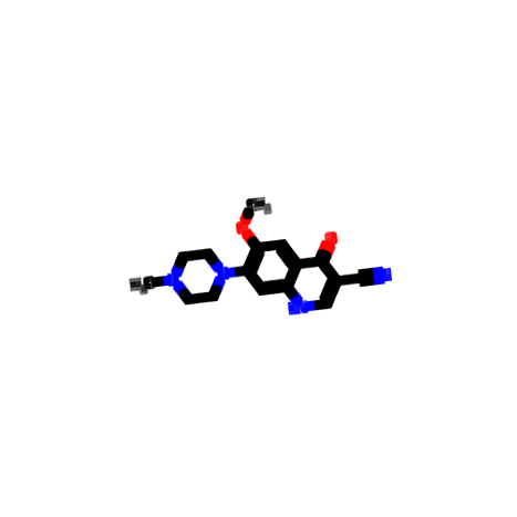 COc1cc2c(=O)c(C#N)c[nH]c2cc1N1CCN(C)CC1